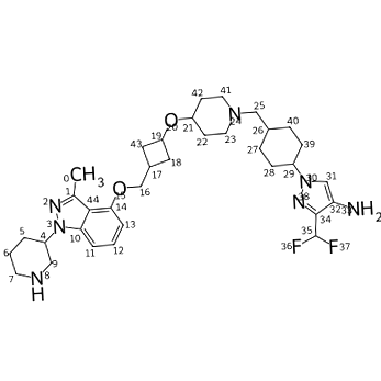 Cc1nn(C2CCCNC2)c2cccc(OCC3CC(OC4CCN(CC5CCC(n6cc(N)c(C(F)F)n6)CC5)CC4)C3)c12